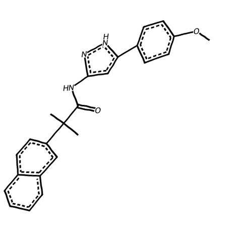 COc1ccc(-c2cc(NC(=O)C(C)(C)c3ccc4ccccc4c3)n[nH]2)cc1